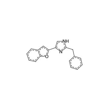 c1ccc(Cc2nc(-c3cc4ccccc4o3)c[nH]2)cc1